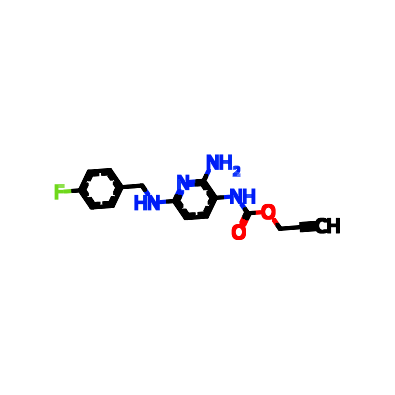 C#CCOC(=O)Nc1ccc(NCc2ccc(F)cc2)nc1N